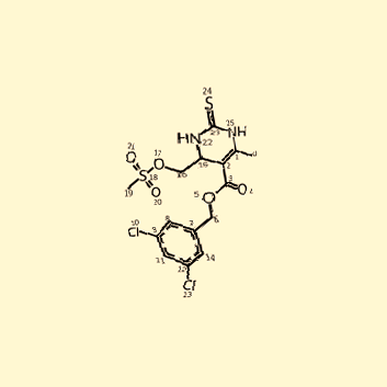 CC1=C(C(=O)OCc2cc(Cl)cc(Cl)c2)C(COS(C)(=O)=O)NC(=S)N1